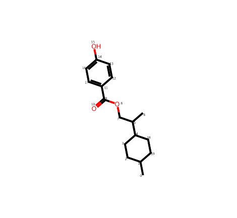 CC1CCC(C(C)COC(=O)c2ccc(O)cc2)CC1